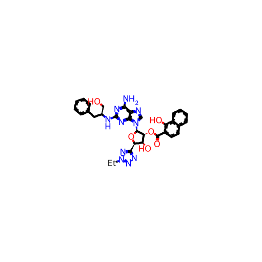 CCn1nnc([C@H]2O[C@@H](n3cnc4c(N)nc(N[C@H](CO)Cc5ccccc5)nc43)[C@H](OC(=O)c3ccc4ccccc4c3O)[C@H]2O)n1